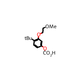 COCCOc1cc(OC(=O)O)ccc1C(C)(C)C